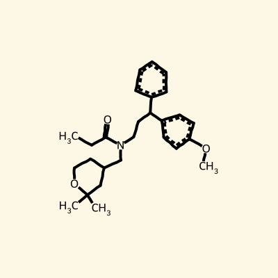 CCC(=O)N(CCC(c1ccccc1)c1ccc(OC)cc1)CC1CCOC(C)(C)C1